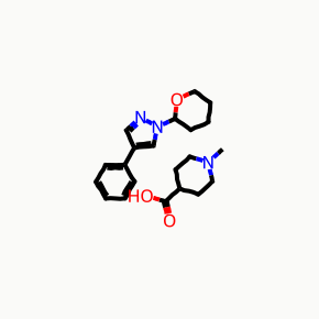 CN1CCC(C(=O)O)CC1.c1ccc(-c2cnn(C3CCCCO3)c2)cc1